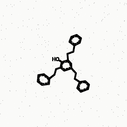 Oc1c(CCc2ccccc2)cc(CCc2ccccc2)cc1CCc1ccccc1